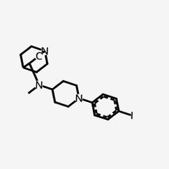 CN(C1CCN(c2ccc(I)cc2)CC1)C1CN2CCC1CC2